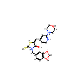 O=C1/C(=C\c2ccnc(N3CCOCC3)c2)SC(=S)N1Cc1ccc2c(c1)OCO2